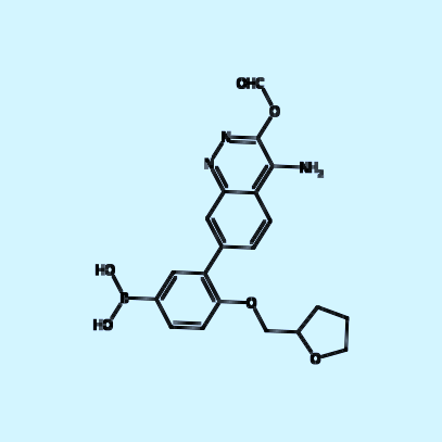 Nc1c(OC=O)nnc2cc(-c3cc(B(O)O)ccc3OCC3CCCO3)ccc12